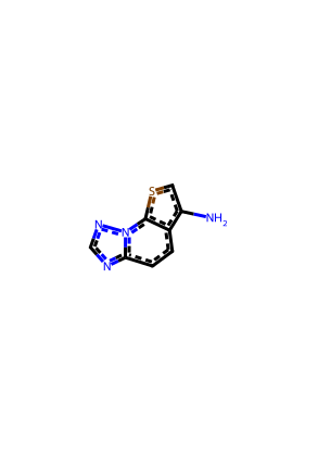 Nc1csc2c1ccc1ncnn12